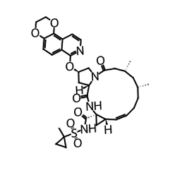 C[C@@H]1CC/C=C\[C@@H]2C[C@@]2(C(=O)NS(=O)(=O)C2(C)CC2)NC(=O)[C@@H]2C[C@@H](Oc3nccc4c5c(ccc34)OCCO5)CN2C(=O)C[C@H](C)C1